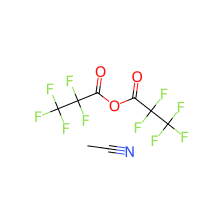 CC#N.O=C(OC(=O)C(F)(F)C(F)(F)F)C(F)(F)C(F)(F)F